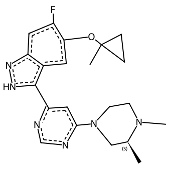 C[C@H]1CN(c2cc(-c3[nH]nc4cc(F)c(OC5(C)CC5)cc34)ncn2)CCN1C